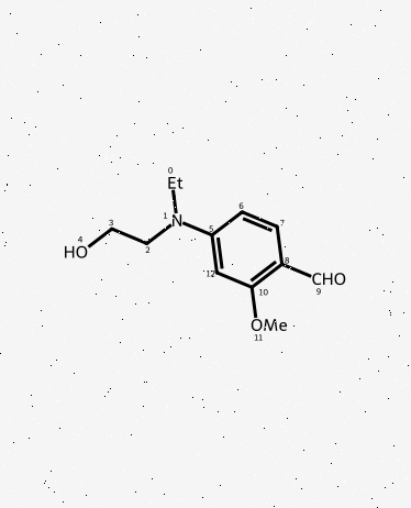 CCN(CCO)c1ccc(C=O)c(OC)c1